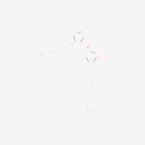 CCCCCCCCCCCCCCCCCCCCc1ccc(C(=O)Oc2ccccc2CCCCCCCCCCCCCCCC)c(O)c1O